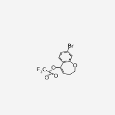 O=S(=O)(OC1=CCCOc2cc(Br)ccc21)C(F)(F)F